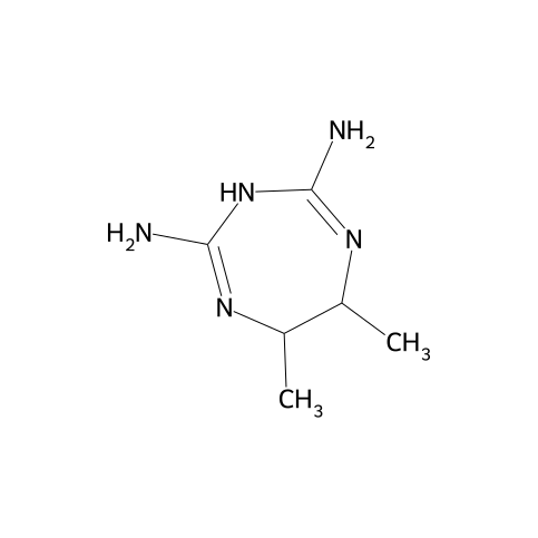 CC1N=C(N)NC(N)=NC1C